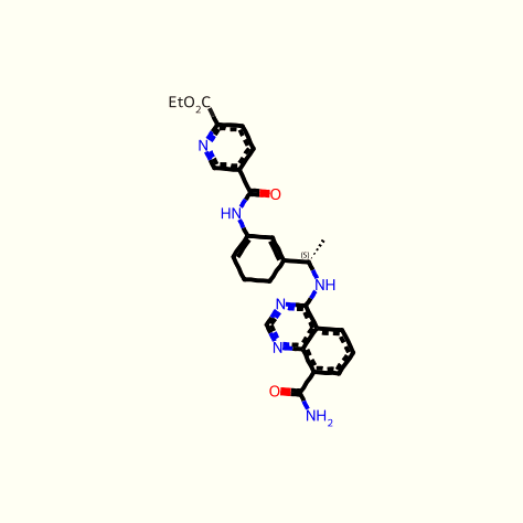 CCOC(=O)c1ccc(C(=O)NC2=CCCC([C@H](C)Nc3ncnc4c(C(N)=O)cccc34)=C2)cn1